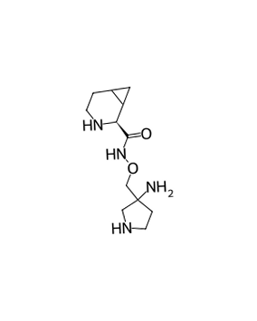 NC1(CONC(=O)[C@H]2NCCC3CC32)CCNC1